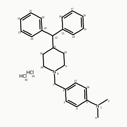 CN(C)c1ccc(CN2CCC(C(c3ccccc3)c3ccccc3)CC2)cc1.Cl.Cl